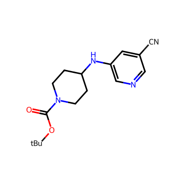 CC(C)(C)OC(=O)N1CCC(Nc2cncc(C#N)c2)CC1